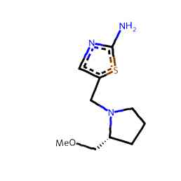 COC[C@H]1CCCN1Cc1cnc(N)s1